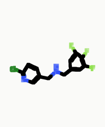 Fc1cc(CNCc2ccc(Cl)nc2)cc(F)c1F